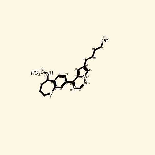 O=C(O)NC1CCCOc2cc(-c3ncnn4cc(CCCCO)cc34)ccc21